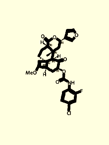 COC1=C[C@@]23CC[C@H]4C(=O)O[C@H](c5ccoc5)C[C@]4(C)[C@H]2C(=O)[C@@H](OC(=O)Nc2ccc(Cl)cc2F)C[C@@H]13